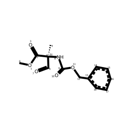 COC(=O)[C@](C)(C=O)NC(=O)OCc1ccccc1